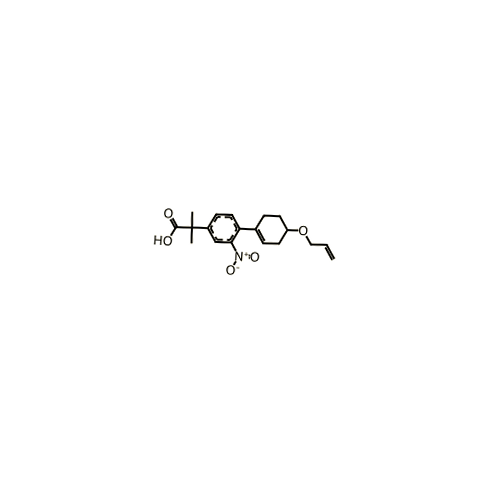 C=CCOC1CC=C(c2ccc(C(C)(C)C(=O)O)cc2[N+](=O)[O-])CC1